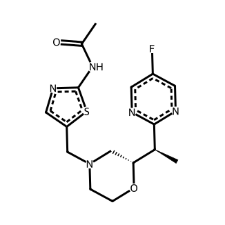 CC(=O)Nc1ncc(CN2CCO[C@@H]([C@H](C)c3ncc(F)cn3)C2)s1